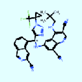 CC(C)(C)CNc1c(C#N)cnc2c(C#N)cc(N[C@H](c3cn(C4(C(F)(F)F)CC4)nn3)c3cccc4cnc(C#N)cc34)cc12